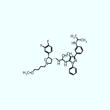 COCCCCN1C[C@@H](CNC(O)Nc2c(C)c(-c3cccc(NC(C)C)c3)nn2-c2ccccc2)[C@H](c2ccc(F)c(F)c2)O1